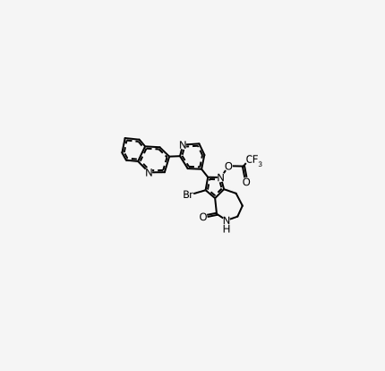 O=C1NCCCc2c1c(Br)c(-c1ccnc(-c3cnc4ccccc4c3)c1)n2OC(=O)C(F)(F)F